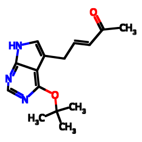 CC(=O)C=CCc1c[nH]c2ncnc(OC(C)(C)C)c12